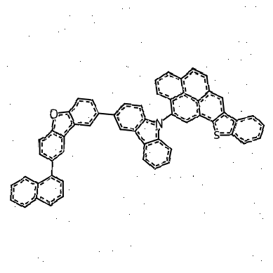 c1ccc2c(-c3ccc4oc5ccc(-c6ccc7c(c6)c6ccccc6n7-c6cc7c8sc9ccccc9c8cc8ccc9cccc6c9c87)cc5c4c3)cccc2c1